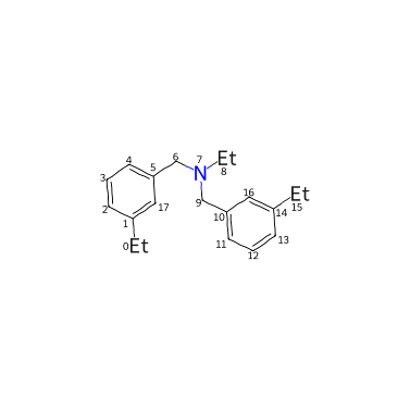 CCc1cccc(CN(CC)Cc2cccc(CC)c2)c1